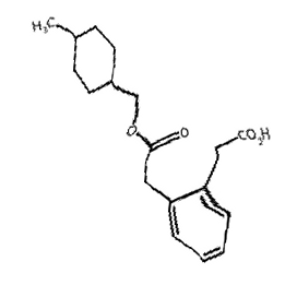 CC1CCC(COC(=O)Cc2ccccc2CC(=O)O)CC1